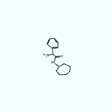 NC(C(=O)NC1CCCCCC1)c1ccccc1